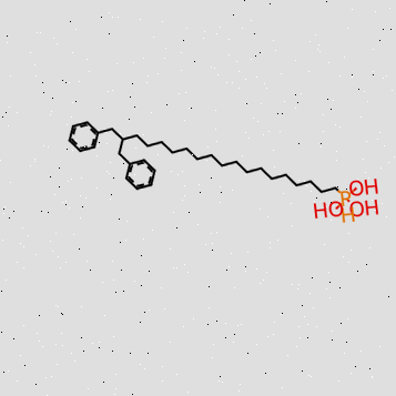 O[PH](O)(O)CCCCCCCCCCCCCCCCCC(Cc1ccccc1)Cc1ccccc1